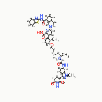 Cc1c(OCCC[C@H]2CCN(CC(=O)Nc3ccc4c(C5CCC(=O)NC5=O)nn(C)c4c3)[C@@H](C)C2)cccc1-c1ccc(N2CCc3cccc(C(=O)Nc4nc5ccccc5s4)c3C2)nc1C(=O)O